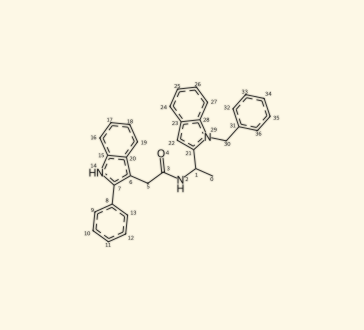 CC(NC(=O)Cc1c(-c2ccccc2)[nH]c2ccccc12)c1cc2ccccc2n1Cc1ccccc1